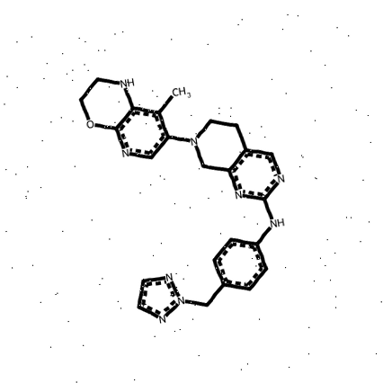 Cc1c(N2CCc3cnc(Nc4ccc(Cn5nccn5)cc4)nc3C2)cnc2c1NCCO2